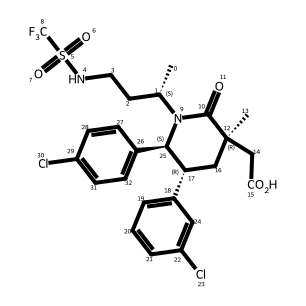 C[C@@H](CCNS(=O)(=O)C(F)(F)F)N1C(=O)[C@@](C)(CC(=O)O)C[C@H](c2cccc(Cl)c2)[C@H]1c1ccc(Cl)cc1